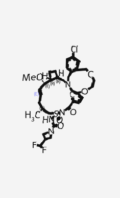 CO[C@H]1/C=C/C[C@H](C)CS(=O)(NC(=O)N2CC(C(F)F)C2)=NC(=O)c2ccc3c(c2)N(Cc2ccc(Cl)cc2CCCCO3)C[C@@H]2CC[C@H]21